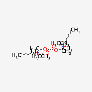 CCCCCCCCON1C(C)(C)CC(OC(=O)CCC(=O)OC2CC(C)(C)N(OCCCCCCCC)C(C)(C)C2)CC1(C)C